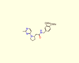 COc1ccc(CNC(=O)C[C@H]2CCCN2c2ccnc(C)n2)cc1OC